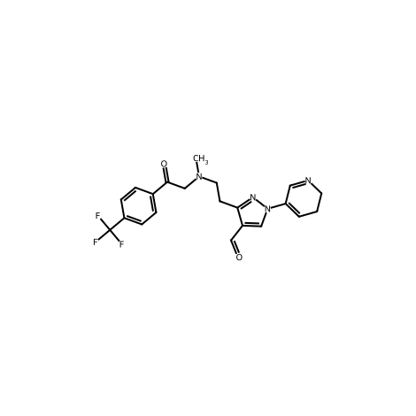 CN(CCc1nn(C2=CCCN=C2)cc1C=O)CC(=O)c1ccc(C(F)(F)F)cc1